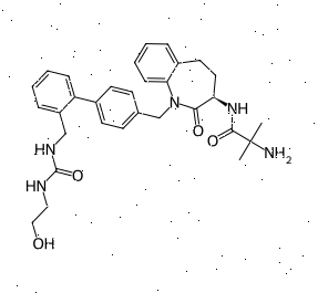 CC(C)(N)C(=O)N[C@@H]1CCc2ccccc2N(Cc2ccc(-c3ccccc3CNC(=O)NCCO)cc2)C1=O